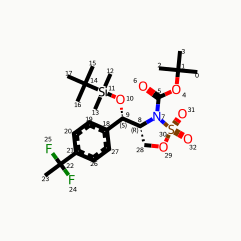 CC(C)(C)OC(=O)N1[C@@H]([C@@H](O[Si](C)(C)C(C)(C)C)c2ccc(C(C)(F)F)cc2)COS1(=O)=O